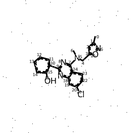 Cc1cc(CN(C)c2nc(-c3ccccc3O)nc3cc(Cl)ccc23)on1